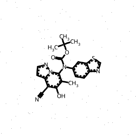 Cc1c(O)c(C#N)c2ccnn2c1N(C(=O)OC(C)(C)C)c1ccc2ncsc2c1